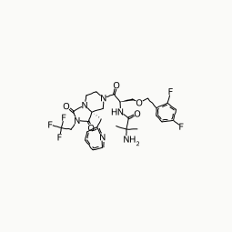 CC(C)(N)C(=O)N[C@H](COCc1ccc(F)cc1F)C(=O)N1CCN2C(=O)N(CC(F)(F)F)C(=O)[C@]2(Cc2ccccn2)C1